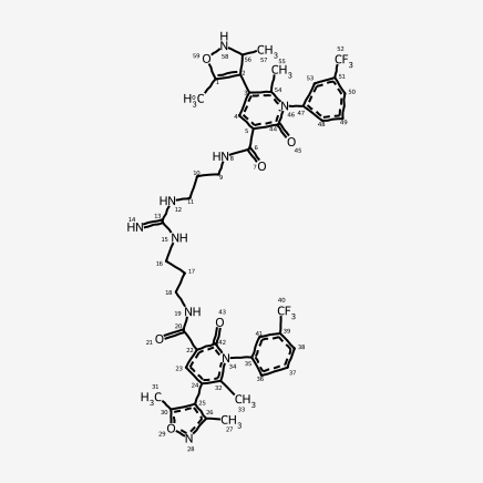 CC1=C(c2cc(C(=O)NCCCNC(=N)NCCCNC(=O)c3cc(-c4c(C)noc4C)c(C)n(-c4cccc(C(F)(F)F)c4)c3=O)c(=O)n(-c3cccc(C(F)(F)F)c3)c2C)C(C)NO1